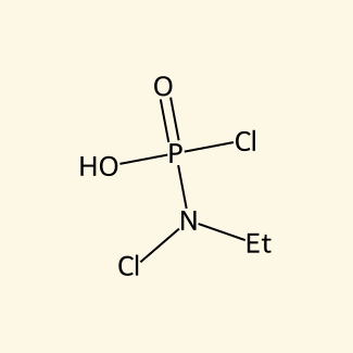 CCN(Cl)P(=O)(O)Cl